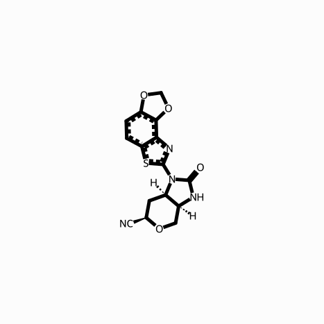 N#C[C@H]1C[C@@H]2[C@H](CO1)NC(=O)N2c1nc2c3c(ccc2s1)OCO3